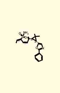 C=C(/C=C\C(=C/C)S(N)(=O)=O)[C@@H]1[C@@H](c2cnc(-c3ccccc3)o2)C1(C)C